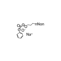 CCCCCCCCCCCCOOP(=O)([O-])Oc1ccccc1.[Na+]